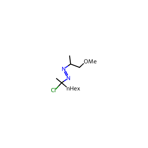 CCCCCCC(C)(Cl)N=NC(C)COC